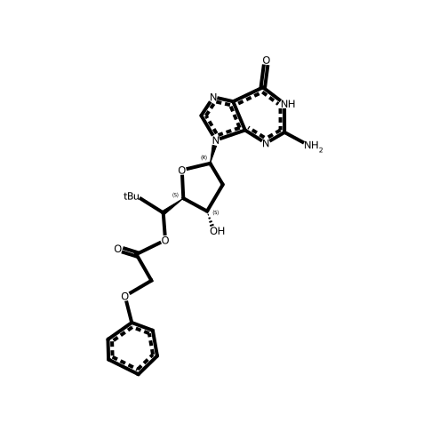 CC(C)(C)C(OC(=O)COc1ccccc1)[C@H]1O[C@@H](n2cnc3c(=O)[nH]c(N)nc32)C[C@@H]1O